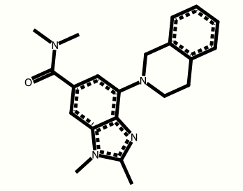 Cc1nc2c(N3CCc4ccccc4C3)cc(C(=O)N(C)C)cc2n1C